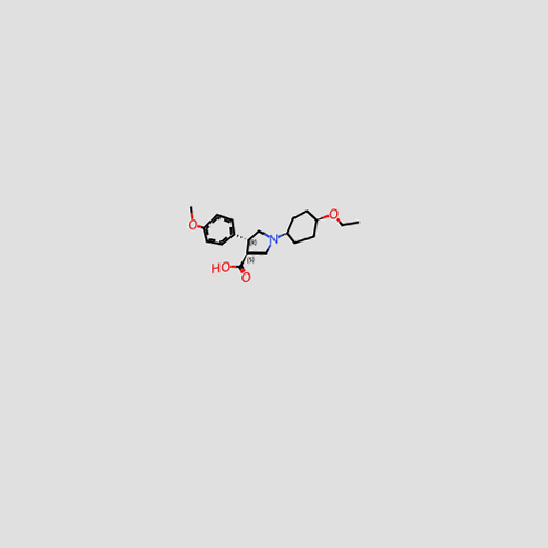 CCO[C@H]1CC[C@@H](N2C[C@@H](C(=O)O)[C@H](c3ccc(OC)cc3)C2)CC1